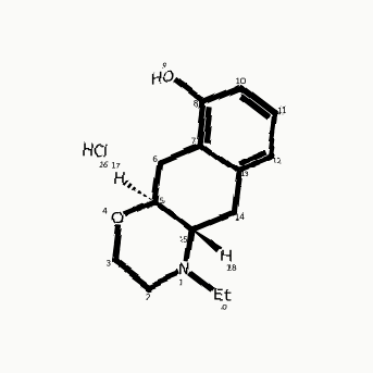 CCN1CCO[C@H]2Cc3c(O)cccc3C[C@@H]21.Cl